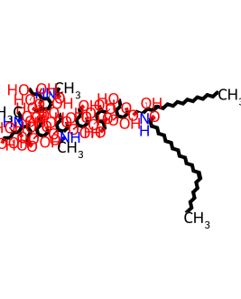 CCCCCCCC/C=C\CCCCCCCCCCCCCC(=O)N[C@@H](CO[C@@H]1OC(CO)[C@@H](O[C@@H]2OC(CO)[C@H](O[C@@H]3OC(CO)[C@H](O)[C@H](O[C@@H]4OC(CO)[C@H](O)[C@H](O[C@@H]5OC(CO[C@]6(C(=O)O)CC(O)[C@@H](NC(C)=O)C([C@H](O)[C@H](O)CO)O6)[C@H](O)[C@H](O[C@]6(C(=O)O)CC(O)[C@@H](NC(C)=O)C([C@H](O)[C@H](O)CO)O6)C5O)C4NC(C)=O)C3O)[C@H](O)C2O)[C@H](O)C1O)[C@H](O)/C=C/CCCCCCCCCCCCC